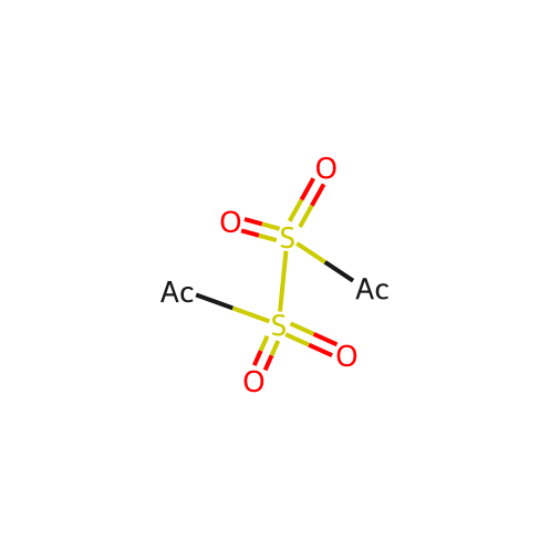 CC(=O)S(=O)(=O)S(=O)(=O)C(C)=O